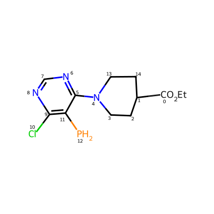 CCOC(=O)C1CCN(c2ncnc(Cl)c2P)CC1